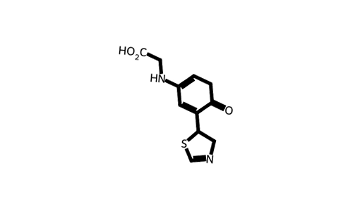 O=C(O)CNC1=CCC(=O)C(C2CN=CS2)=C1